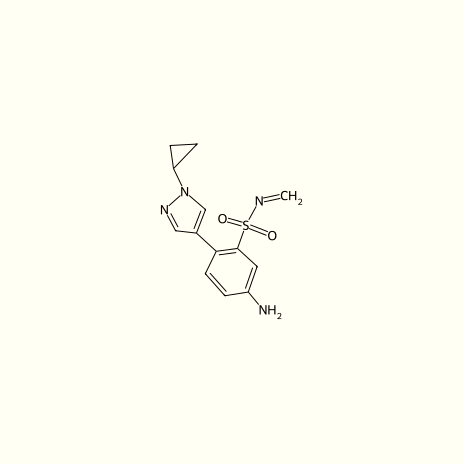 C=NS(=O)(=O)c1cc(N)ccc1-c1cnn(C2CC2)c1